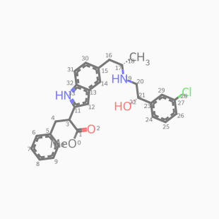 COC(=O)C(Cc1ccccc1)c1cc2cc(C[C@H](C)NC[C@@H](O)c3cccc(Cl)c3)ccc2[nH]1